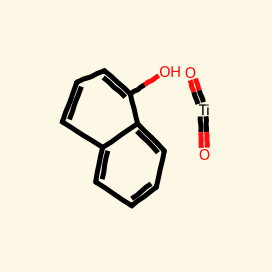 Oc1cccc2ccccc12.[O]=[Ti]=[O]